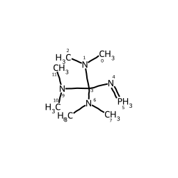 CN(C)C(N=[PH3])(N(C)C)N(C)C